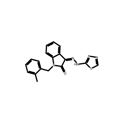 Cc1ccccc1CN1C(=O)C(=NNc2nncs2)c2ccccc21